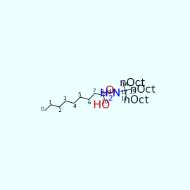 CCCCCCCCC(=O)O.CCCCCCCCC(N)(CCCCCCCC)CCCCCCCC